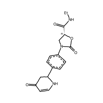 CCNC(=O)[C@H]1CN(c2ccc(C3CC(=O)C=CN3)cc2)C(=O)O1